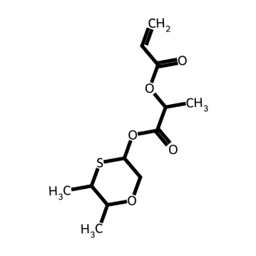 C=CC(=O)OC(C)C(=O)OC1COC(C)C(C)S1